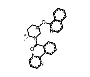 C[C@@H]1CC[C@@H](Oc2nccc3ccccc23)CN1C(=O)c1ccccc1-c1ncccn1